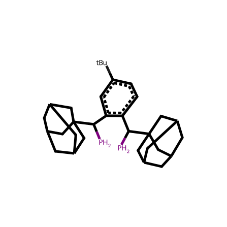 CC(C)(C)c1ccc(C(P)C23CC4CC(CC(C4)C2)C3)c(C(P)C23CC4CC(CC(C4)C2)C3)c1